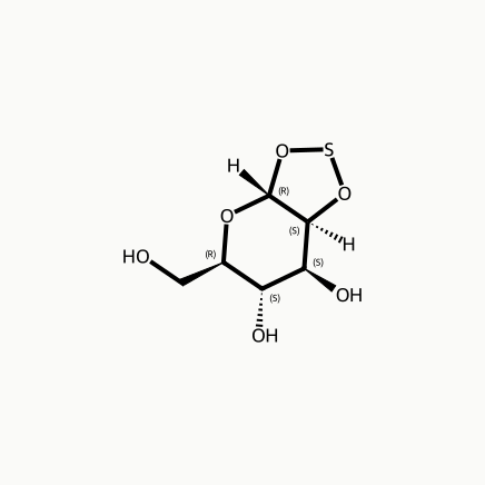 OC[C@H]1O[C@@H]2OSO[C@H]2[C@@H](O)[C@@H]1O